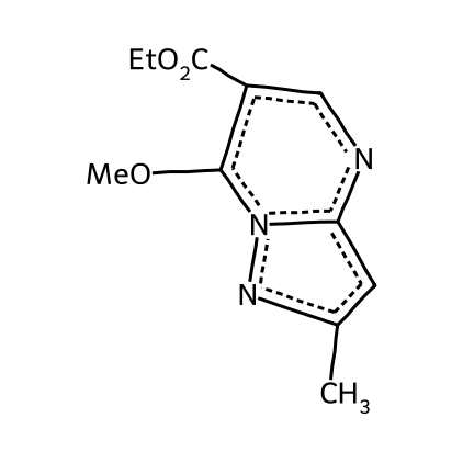 CCOC(=O)c1cnc2cc(C)nn2c1OC